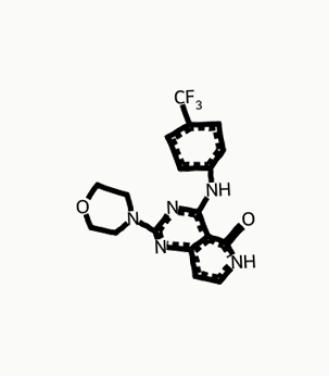 O=c1[nH]ccc2nc(N3CCOCC3)nc(Nc3ccc(C(F)(F)F)cc3)c12